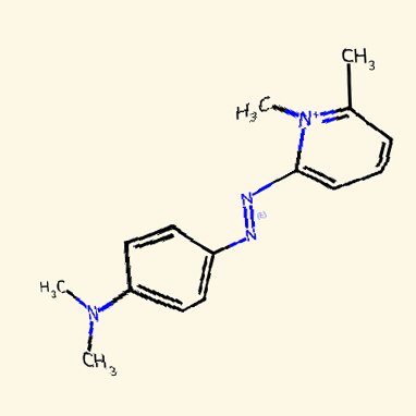 Cc1cccc(/N=N/c2ccc(N(C)C)cc2)[n+]1C